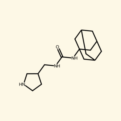 O=C(NCC1CCNC1)NC12CC3CC(CC(C3)C1)C2